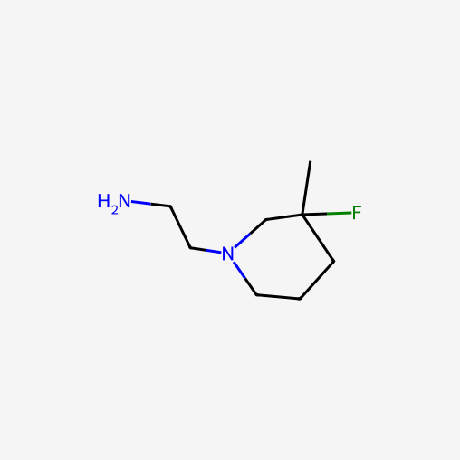 CC1(F)CCCN(CCN)C1